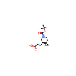 CC(C)(C)OC(=O)N1CCC2(CC2)C(CCC(=O)O)C1